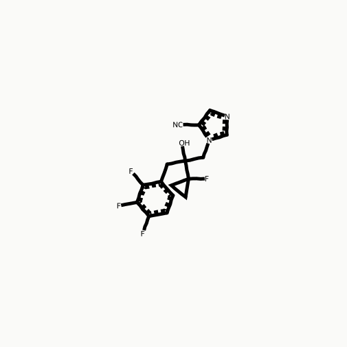 N#Cc1cncn1CC(O)(Cc1ccc(F)c(F)c1F)C1(F)CC1